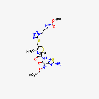 CC(C)(C)OC(=O)NCCCn1nnnc1SCC1=C(C(=O)O)N2C(=O)C(NC(=O)/C(=N\OCC(=O)O)c3nsc(N)n3)[C@H]2SC1